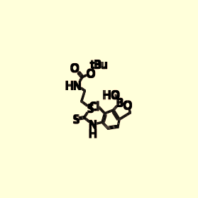 CC(C)(C)OC(=O)NCCSC(=S)Nc1ccc2c(c1Cl)B(O)OC2